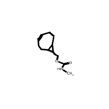 CNC(=O)OCC1C2CCC#CCCC21